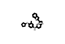 Cc1cc(Nc2ccc3ncc(-c4cc5ccccc5s4)n3n2)ccc1OC1CCCC1